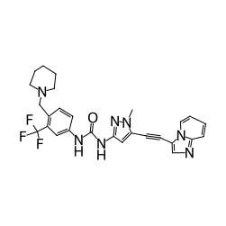 Cn1nc(NC(=O)Nc2ccc(CN3CCCCC3)c(C(F)(F)F)c2)cc1C#Cc1cnc2ccccn12